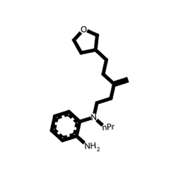 C=C(CCC1CCOC1)CCN(CCC)c1ccccc1N